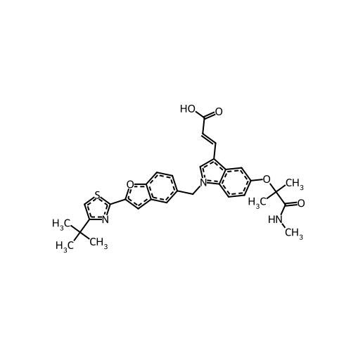 CNC(=O)C(C)(C)Oc1ccc2c(c1)c(C=CC(=O)O)cn2Cc1ccc2oc(-c3nc(C(C)(C)C)cs3)cc2c1